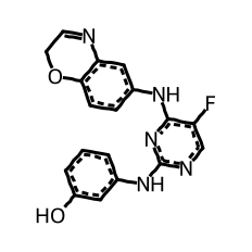 Oc1cccc(Nc2ncc(F)c(Nc3ccc4c(c3)N=CCO4)n2)c1